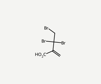 C=C(C(=O)O)C(Br)(Br)CBr